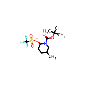 CC1CCC(OS(=O)(=O)C(F)(F)F)N(C(=O)OC(C)(C)C)C1